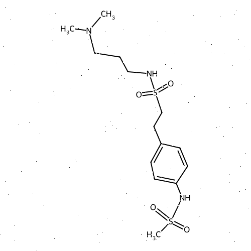 CN(C)CCCNS(=O)(=O)CCc1ccc(NS(C)(=O)=O)cc1